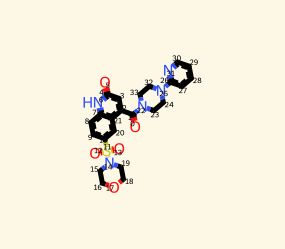 O=C(c1cc(=O)[nH]c2ccc(S(=O)(=O)N3CCOCC3)cc12)N1CCN(c2ccccn2)CC1